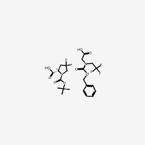 CC(C)(C)OC(=O)N1CC(F)(F)C[C@H]1C(=O)O.O=C(O)CN(CC(F)(F)F)C(=O)OCc1ccccc1